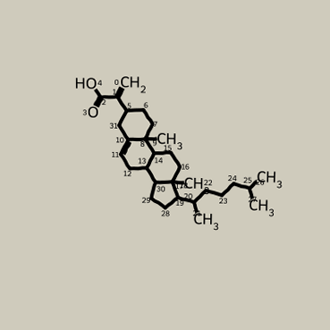 C=C(C(=O)O)C1CCC2(C)C(=CCC3C2CCC2(C)C(C(C)CCCC(C)C)CCC32)C1